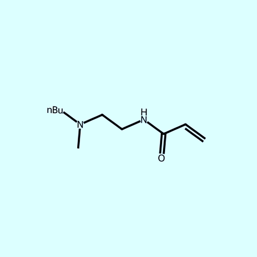 C=CC(=O)NCCN(C)CCCC